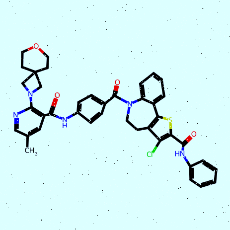 Cc1cnc(N2CC3(CCOCC3)C2)c(C(=O)Nc2ccc(C(=O)N3CCc4c(sc(C(=O)Nc5ccccc5)c4Cl)-c4ccccc43)cc2)c1